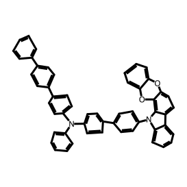 c1ccc(-c2ccc(-c3ccc(N(c4ccccc4)c4ccc(-c5ccc(-n6c7ccccc7c7ccc8c(c76)Oc6ccccc6O8)cc5)cc4)cc3)cc2)cc1